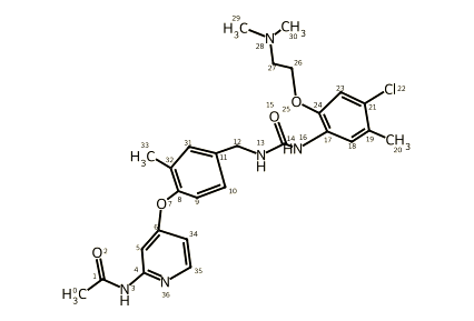 CC(=O)Nc1cc(Oc2ccc(CNC(=O)Nc3cc(C)c(Cl)cc3OCCN(C)C)cc2C)ccn1